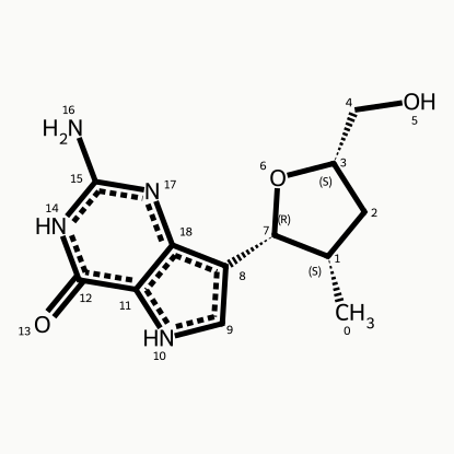 C[C@H]1C[C@@H](CO)O[C@H]1c1c[nH]c2c(=O)[nH]c(N)nc12